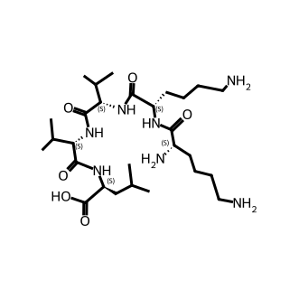 CC(C)C[C@H](NC(=O)[C@@H](NC(=O)[C@@H](NC(=O)[C@H](CCCCN)NC(=O)[C@@H](N)CCCCN)C(C)C)C(C)C)C(=O)O